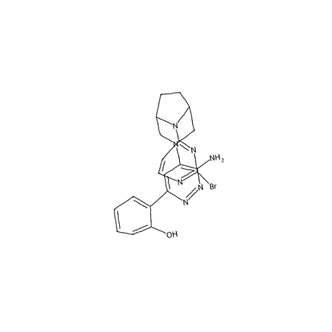 Nc1nnc(-c2ccccc2O)cc1N1CC2CCC(C1)N2c1ccnc(Br)n1